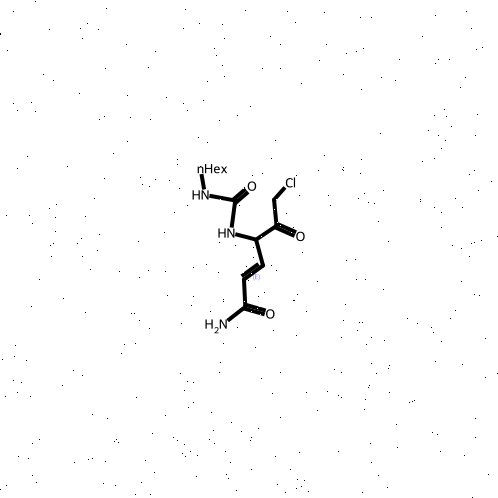 CCCCCCNC(=O)NC(/C=C/C(N)=O)C(=O)CCl